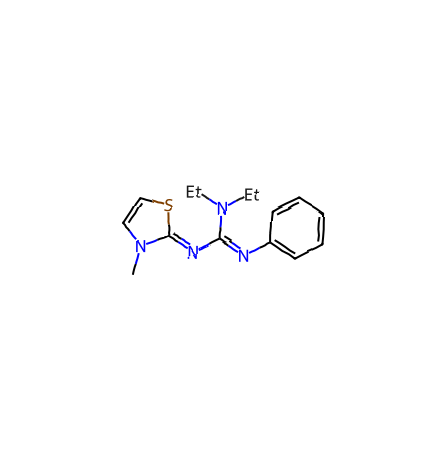 CCN(CC)C(=Nc1ccccc1)N=c1sccn1C